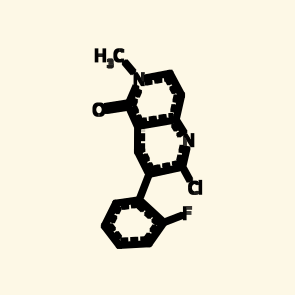 Cn1ccc2nc(Cl)c(-c3ccccc3F)cc2c1=O